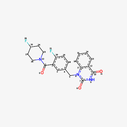 O=C(c1cc(Cn2c(=O)[nH]c(=O)c3ccccc32)ccc1F)N1CCC(F)CC1